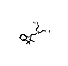 CC1=[N+](CCN(CCO)CCO)c2ccccc2C1(C)C